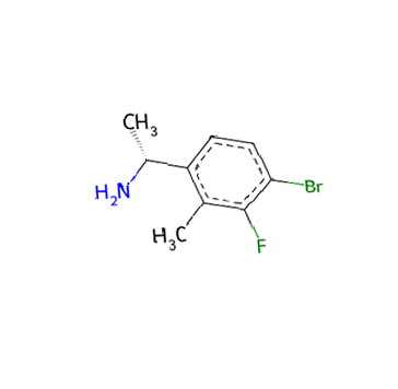 Cc1c([C@@H](C)N)ccc(Br)c1F